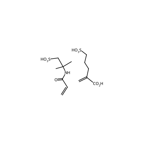 C=C(CCCS(=O)(=O)O)C(=O)O.C=CC(=O)NC(C)(C)CS(=O)(=O)O